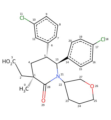 C[C@]1(CC(=O)O)C[C@H](c2cccc(Cl)c2)[C@@H](c2ccc(Cl)cc2)N(C2CCCOC2)C1=O